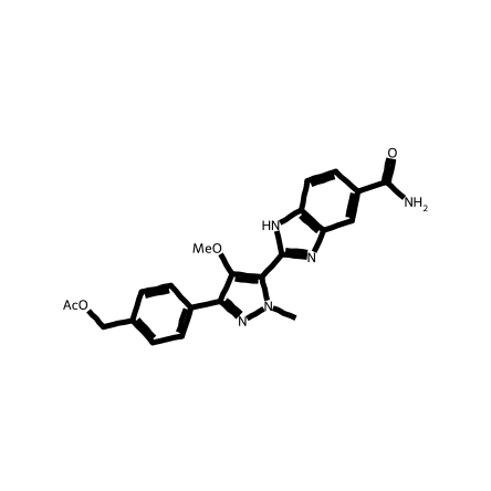 COc1c(-c2ccc(COC(C)=O)cc2)nn(C)c1-c1nc2cc(C(N)=O)ccc2[nH]1